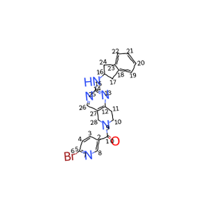 O=C(c1ccc(Br)nc1)N1CCc2nc(NC3Cc4ccccc4C3)ncc2C1